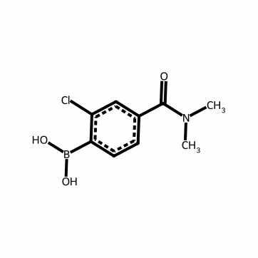 CN(C)C(=O)c1ccc(B(O)O)c(Cl)c1